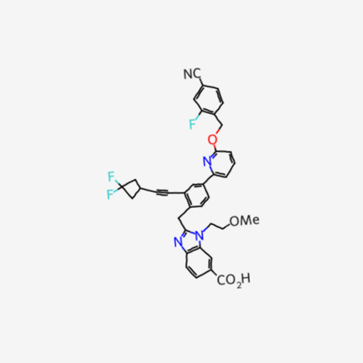 COCCn1c(Cc2ccc(-c3cccc(OCc4ccc(C#N)cc4F)n3)cc2C#CC2CC(F)(F)C2)nc2ccc(C(=O)O)cc21